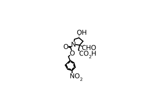 O=C[C@]1(CC(=O)O)C[C@@H](O)CN1C(=O)OCc1ccc([N+](=O)[O-])cc1